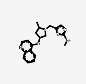 CNc1ncc(CN2CC(Oc3ccnc4ccccc34)CC2C)s1